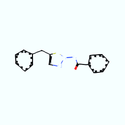 O=C(NN1NC=C(Cc2ccccc2)S1)c1ccccc1